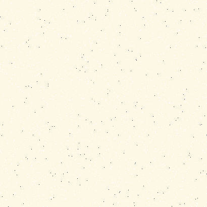 c1ccc(-c2cc(-c3nc(-c4ccccc4)nc(-c4cccc5oc6ccccc6c45)n3)c3c(c2)oc2cc4ccccc4cc23)cc1